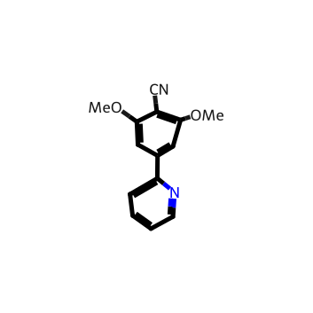 COc1cc(-c2ccccn2)cc(OC)c1C#N